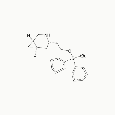 CC(C)(C)[Si](OCC[C@@H]1C[C@H]2C[C@H]2CN1)(c1ccccc1)c1ccccc1